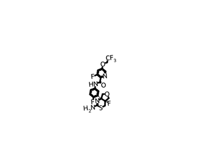 NC1=N[C@@]2(c3cc(NC(=O)c4ncc(OCC(F)(F)F)cc4F)ccc3F)COC[C@@]2(F)CS1